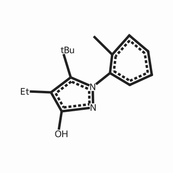 CCc1c(O)nn(-c2ccccc2C)c1C(C)(C)C